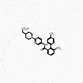 Cc1cccc(C(=O)Nc2ccc(N3CCC(CC(=O)O)CC3)nc2)c1-c1ccc(C(F)(F)F)cc1